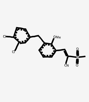 COc1c(/C=C(\C#N)S(C)(=O)=O)cccc1Cc1ccc(Cl)c(Cl)c1